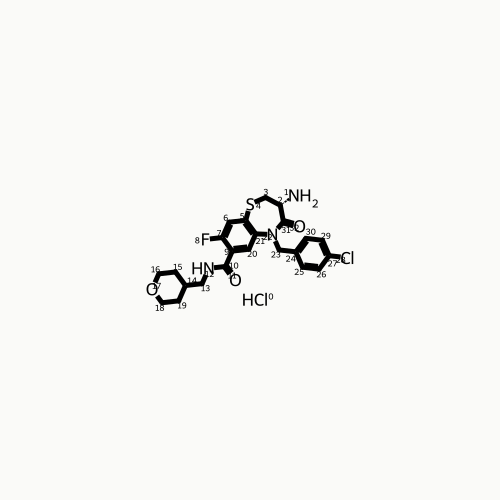 Cl.N[C@H]1CSc2cc(F)c(C(=O)NCC3CCOCC3)cc2N(Cc2ccc(Cl)cc2)C1=O